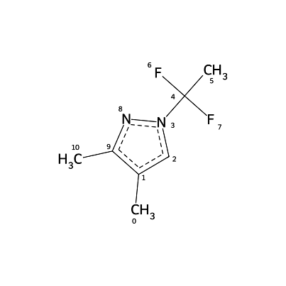 Cc1cn(C(C)(F)F)nc1C